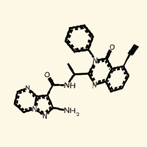 C#Cc1cccc2nc(C(C)NC(=O)c3c(N)nn4cccnc34)n(-c3ccccc3)c(=O)c12